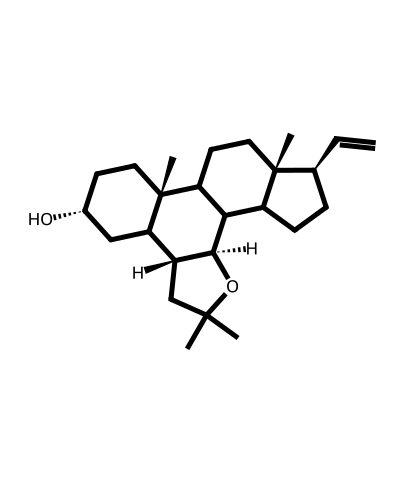 C=C[C@H]1CCC2C3C(CC[C@@]21C)[C@@]1(C)CC[C@@H](O)CC1[C@H]1CC(C)(C)O[C@H]31